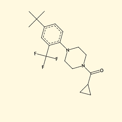 CC(C)(C)c1ccc(N2CCN(C(=O)C3CC3)CC2)c(C(F)(F)F)c1